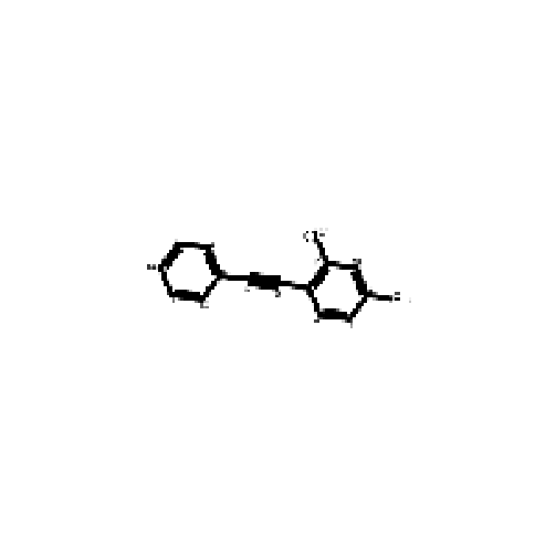 Fc1ccc(C#Cc2ccccc2)c(Cl)c1